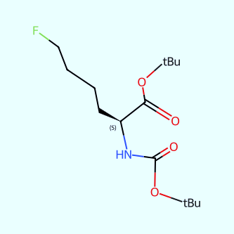 CC(C)(C)OC(=O)N[C@@H](CCCCF)C(=O)OC(C)(C)C